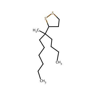 CCCCCCC(C)(CCCC)C1CCSS1